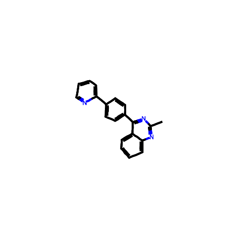 Cc1nc(-c2ccc(-c3ccccn3)cc2)c2ccccc2n1